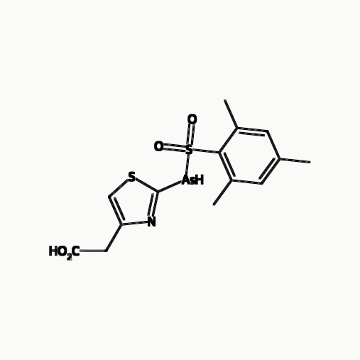 Cc1cc(C)c(S(=O)(=O)[AsH]c2nc(CC(=O)O)cs2)c(C)c1